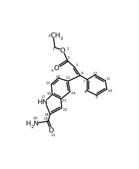 CCOC(=O)/C=C(/c1ccccc1)c1ccc2[nH]c(C(N)=O)cc2c1